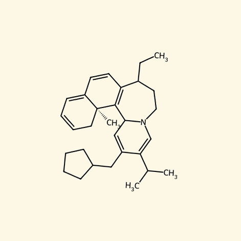 CCC1CCN2C=C(C(C)C)C(CC3CCCC3)=CC2C2=C1C=CC1=CC=CC[C@@]12C